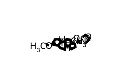 CCOC1C2C3CC[C@@H]4[C@H](CC[C@]5(C)[C@@H](C(=O)CN6CCOCC6)CC[C@@H]45)[C@H]3CC[C@]12O